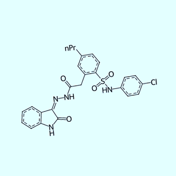 CCCc1ccc(S(=O)(=O)Nc2ccc(Cl)cc2)c(CC(=O)NN=C2C(=O)Nc3ccccc32)c1